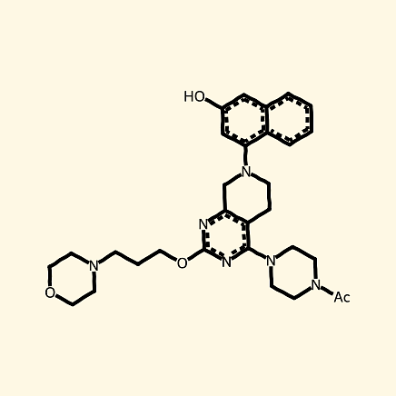 CC(=O)N1CCN(c2nc(OCCCN3CCOCC3)nc3c2CCN(c2cc(O)cc4ccccc24)C3)CC1